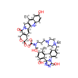 CCc1c2c(nc3ccc(O)cc13)-c1cc3c(c(=O)n1C2)COC(=O)[C@H]3OC(=O)N(C)CCCN1CC[N+](CC)(Cc2ccc(-n3c(O)nnc3-c3cc(C(C)C)c(O)cc3O)cc2)CC1